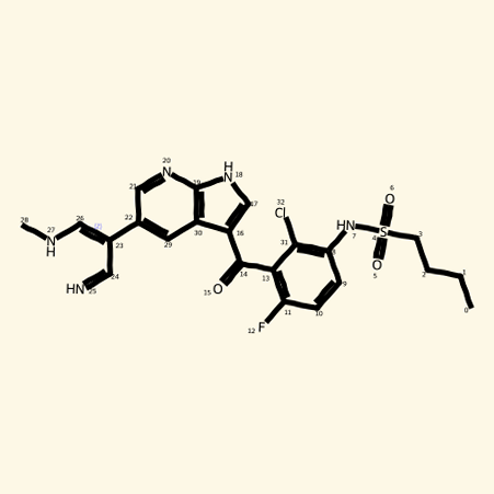 CCCCS(=O)(=O)Nc1ccc(F)c(C(=O)c2c[nH]c3ncc(/C(C=N)=C/NC)cc23)c1Cl